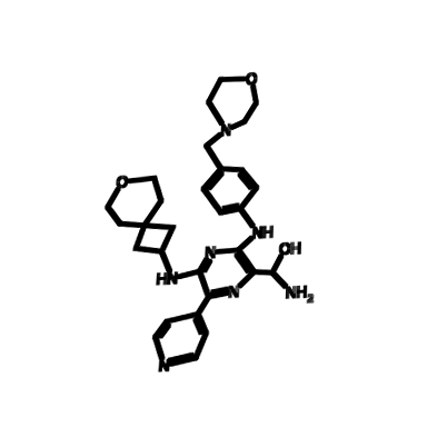 NC(O)c1nc(-c2ccncc2)c(NC2CC3(CCOCC3)C2)nc1Nc1ccc(CN2CCOCC2)cc1